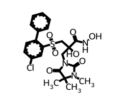 CN1C(=O)N(CC(O)(CS(=O)(=O)c2cc(Cl)ccc2-c2ccccc2)C(=O)NO)C(=O)C1(C)C